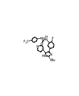 CC(C)(C)c1nc(-c2ccc(F)c(NC(=O)Nc3ccc(C(F)(F)F)cc3)c2)c(-c2ccncc2)[nH]1